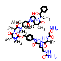 CC[C@@H](C)[C@@H]([C@@H](CC(=O)N1CCC[C@H]1[C@H](OC)[C@@H](C)C(=O)N[C@H](C)[C@@H](O)c1ccccc1)OC)N(C)C(=O)[C@@H](NC(=O)[C@H](C(C)C)N(C)C(=O)OCc1ccc(NC(=O)[C@H](CCCNC(N)=O)NC(=O)[C@@H](NC(=O)CON)C(C)C)cc1)C(C)C